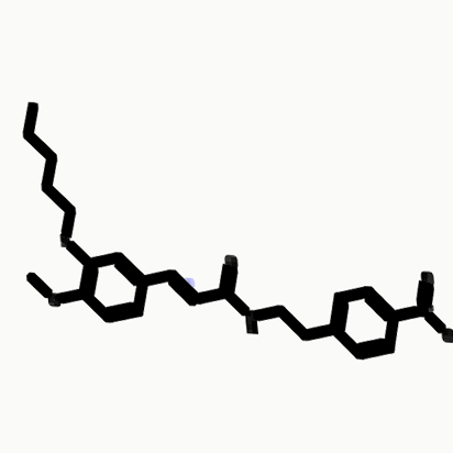 CCCCCSc1cc(/C=C/C(=O)NCCc2ccc([N+](=O)[O-])cc2)ccc1OC